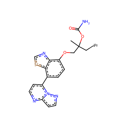 CC(C)CC(C)(COc1ccc(-c2ccnc3ccnn23)c2scnc12)OC(N)=O